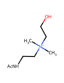 [CH2]C(=O)NCC[N+](C)(C)CCO